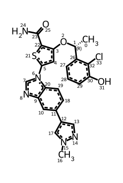 C[C@@H](Oc1cc(-n2cnc3cc(-c4cnn(C)c4)ccc32)sc1C(N)=O)c1cccc(O)c1Cl